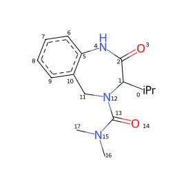 CC(C)C1C(=O)Nc2ccccc2CN1C(=O)N(C)C